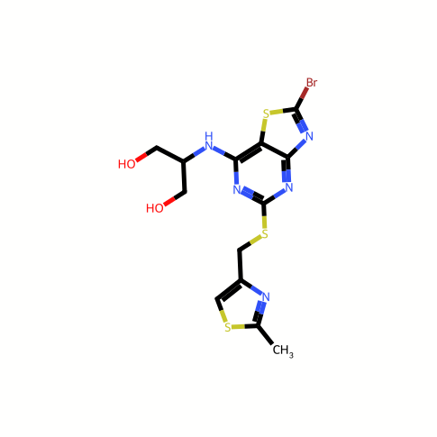 Cc1nc(CSc2nc(NC(CO)CO)c3sc(Br)nc3n2)cs1